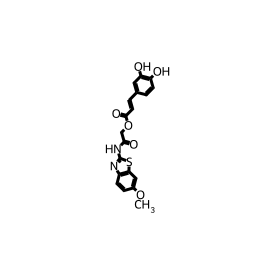 COc1ccc2nc(NC(=O)COC(=O)/C=C/c3ccc(O)c(O)c3)sc2c1